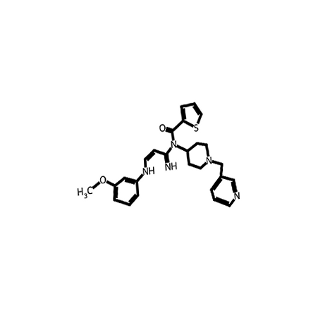 COc1cccc(N/C=C\C(=N)N(C(=O)c2cccs2)C2CCN(Cc3cccnc3)CC2)c1